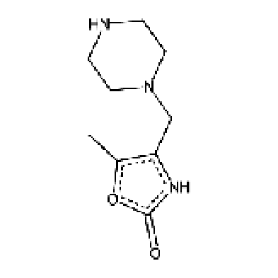 Cc1oc(=O)[nH]c1CN1CCNCC1